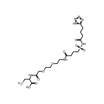 CCC(NC(=O)COCCOCCNC(=O)CCCS(=O)(=O)NC(=O)CCCc1nnn[nH]1)C(=O)O